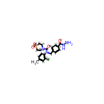 Cc1ccc(N(Cc2ccc(C(=O)NN)cc2)C(=O)N2CCS(=O)(=O)CC2)c(F)c1